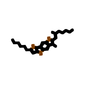 CCCCCCc1cc2sc3cc4c(C)c(/C=C(\C)CCCCC)sc4cc3c2s1